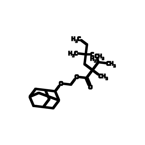 CCC(C)(C)CC(C)(C(=O)OCOC1C2CC3CC(C2)CC1C3)C(C)C